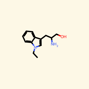 CCn1cc(CC(N)CO)c2ccccc21